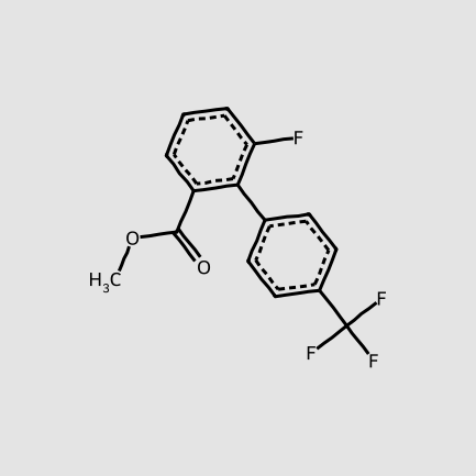 COC(=O)c1cccc(F)c1-c1ccc(C(F)(F)F)cc1